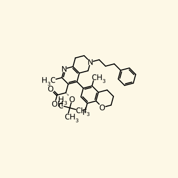 Cc1nc2c(c(-c3cc(F)c4c(c3C)CCCO4)c1[C@H](OC(C)(C)C)C(=O)O)CN(CCCc1ccccc1)CC2